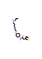 C=CCN(C)CCCCCCO[C@H]1CC[C@H](N(C)C(=O)Cc2ccsc2)CC1